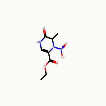 CCOC(=O)C1=CNC(=O)C(C)N1[N+](=O)[O-]